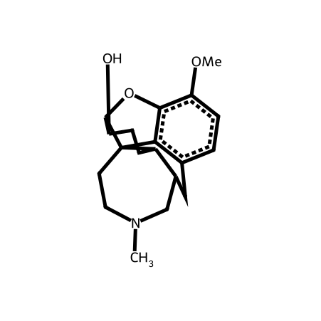 COc1ccc2c3c1OC1C(O)CCC4C(C2)CN(C)CCC341